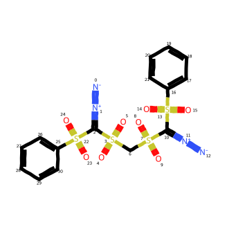 [N-]=[N+]=C(S(=O)(=O)CS(=O)(=O)C(=[N+]=[N-])S(=O)(=O)c1ccccc1)S(=O)(=O)c1ccccc1